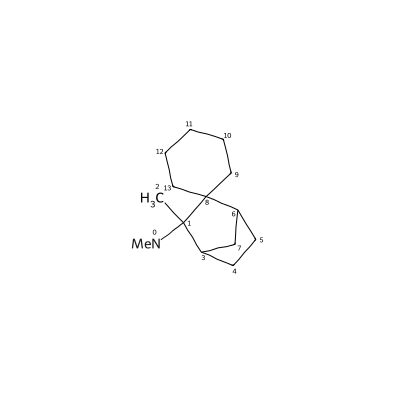 CNC1(C)C2CCC(C2)C12CCCCC2